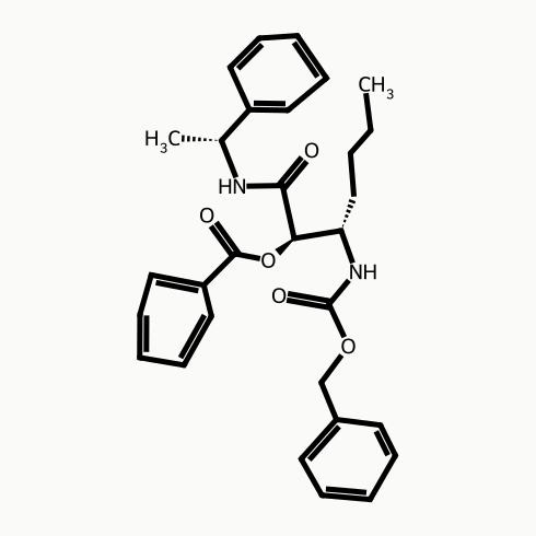 CCCC[C@H](NC(=O)OCc1ccccc1)[C@@H](OC(=O)c1ccccc1)C(=O)N[C@H](C)c1ccccc1